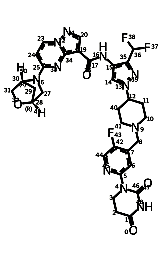 O=C1CCN(c2cc(CN3CCC(n4cc(NC(=O)c5cnn6ccc(N7C[C@H]8C[C@@H]7CO8)nc56)c(C(F)F)n4)CC3)c(F)cn2)C(=O)N1